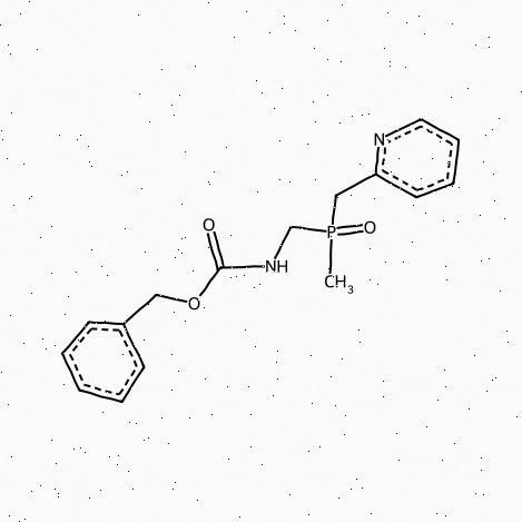 CP(=O)(CNC(=O)OCc1ccccc1)Cc1ccccn1